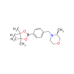 C[C@H]1COCCN1Cc1ccc(B2OC(C)(C)C(C)(C)O2)cc1